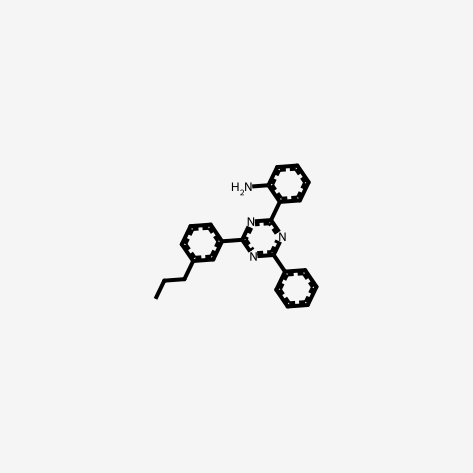 CCCc1cccc(-c2nc(-c3ccccc3)nc(-c3ccccc3N)n2)c1